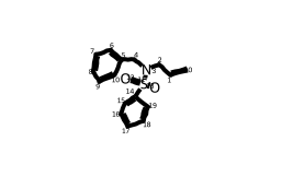 C=CCN(Cc1ccccc1)S(=O)(=O)c1ccccc1